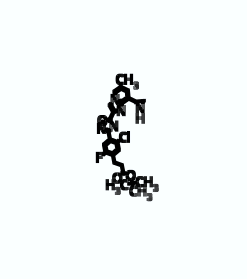 Cc1cc(C2CN2)c2nc(-c3nc(-c4cc(F)c(CCC(=O)OC(C)(C)C)cc4Cl)no3)cn2c1